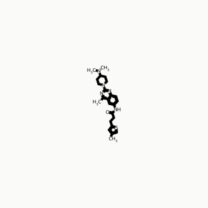 Cc1csc(CCC(=O)Nc2ccc3nc(N4CCC(N(C)C)CC4)nc(C)c3c2)c1